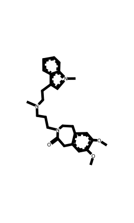 COc1cc2c(cc1OC)CC(=O)N(CCCN(C)CCc1cn(C)c3ccccc13)CC2